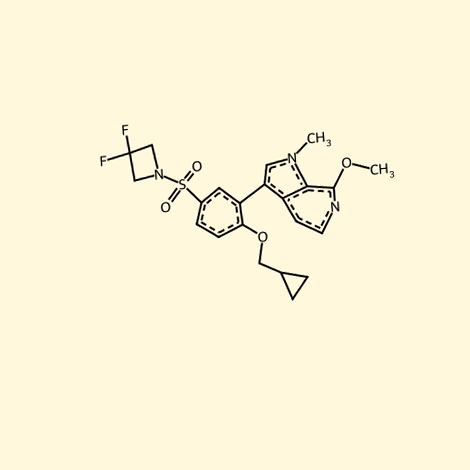 COc1nccc2c(-c3cc(S(=O)(=O)N4CC(F)(F)C4)ccc3OCC3CC3)cn(C)c12